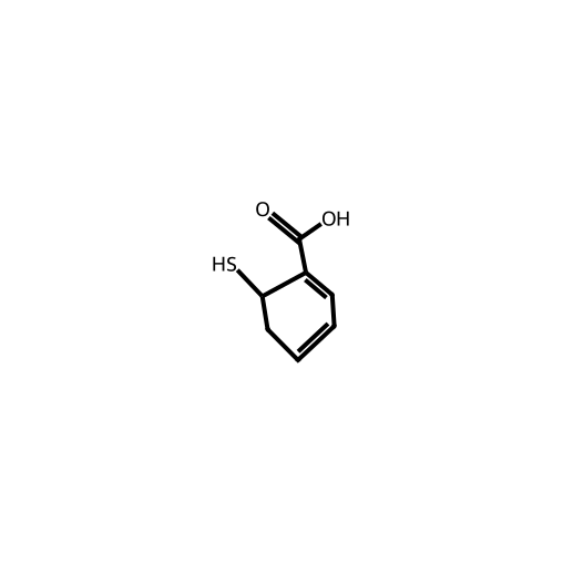 O=C(O)C1=CC=CCC1S